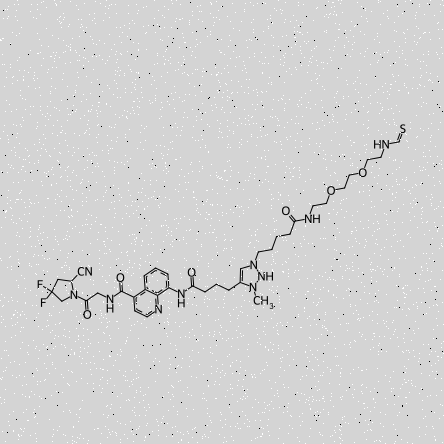 CN1NN(CCCCC(=O)NCCOCCOCCNC=S)C=C1CCCC(=O)Nc1cccc2c(C(=O)NCC(=O)N3CC(F)(F)CC3C#N)ccnc12